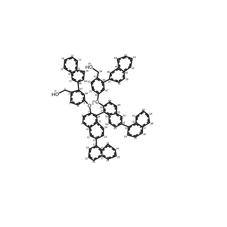 OCc1ccc(Oc2ccc3cc(-c4cccc5ccccc45)ccc3c2-c2c(Oc3ccc(CO)c(-c4ccc5ccccc5c4)c3)ccc3cc(-c4cccc5ccccc45)ccc23)cc1-c1ccc2ccccc2c1